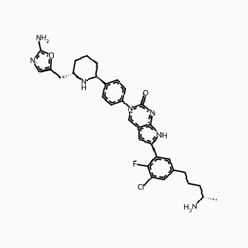 C[C@H](N)CCCc1cc(Cl)c(F)c(-c2cc3cn(-c4ccc([C@@H]5CCC[C@@H](Cc6cnc(N)o6)N5)cc4)c(=O)nc3[nH]2)c1